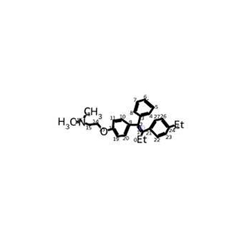 CC/C(=C(/c1cc[c]cc1)c1ccc(OCCN(C)C)cc1)c1ccc(CC)cc1